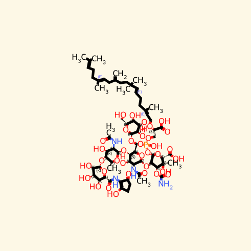 C=C(C/C=C(\C)CCC=C(C)C)CCC(C)(C)/C=C/CC/C(C)=C/CO[C@@H](COP(=O)(O)O[C@H]1O[C@H](C(=O)O)[C@@](C)(O)[C@H](OC(N)=O)[C@H]1O[C@@H]1O[C@H](CO[C@@H]2O[C@H](CO)[C@@H](O)[C@H](O)[C@H]2O)[C@@H](O[C@@H]2O[C@H](C)[C@@H](O[C@@H]3O[C@H](C(=O)NC4=C(O)CCC4=O)[C@H](O)[C@H](O)[C@H]3O)[C@H](O)[C@H]2NC(C)=O)[C@H](O)[C@H]1NC(C)=O)C(=O)O